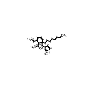 C=CC1=CC=CC(CCCCCCCC)(Cn2ccnc2)C1C(C)C.Cl